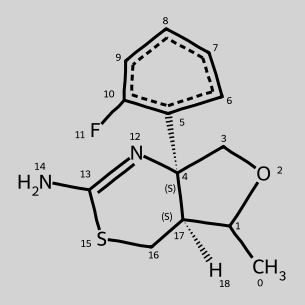 CC1OC[C@]2(c3ccccc3F)N=C(N)SC[C@H]12